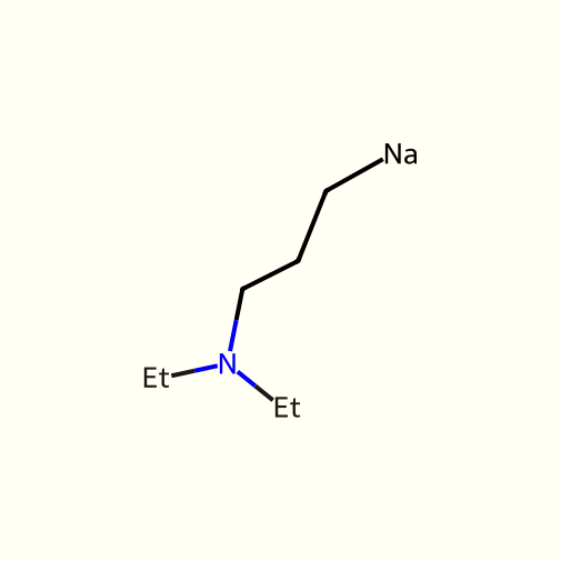 CCN(CC)CC[CH2][Na]